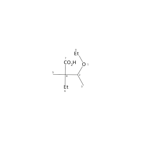 CCOC(C)C(C)(CC)C(=O)O